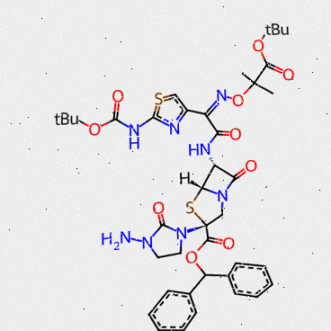 CC(C)(C)OC(=O)Nc1nc(/C(=N/OC(C)(C)C(=O)OC(C)(C)C)C(=O)N[C@@H]2C(=O)N3C[C@@](C(=O)OC(c4ccccc4)c4ccccc4)(N4CCN(N)C4=O)S[C@H]23)cs1